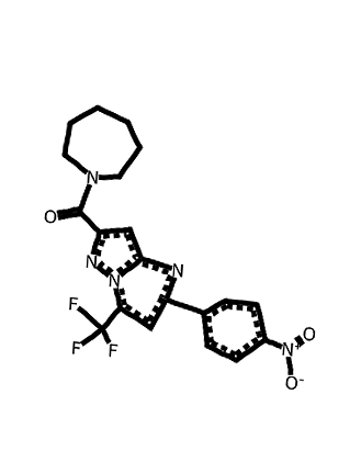 O=C(c1cc2nc(-c3ccc([N+](=O)[O-])cc3)cc(C(F)(F)F)n2n1)N1CCCCCC1